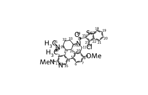 CNc1ccc(-c2ccc(OC)c(CN(C(=O)c3sc4ccccc4c3Cl)[C@H]3CC[C@H](N(C)C)CC3)c2)cn1